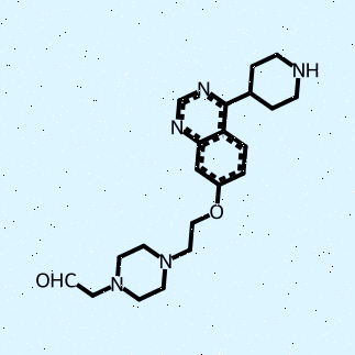 O=CCN1CCN(CCOc2ccc3c(C4CCNCC4)ncnc3c2)CC1